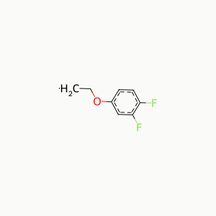 [CH2]COc1ccc(F)c(F)c1